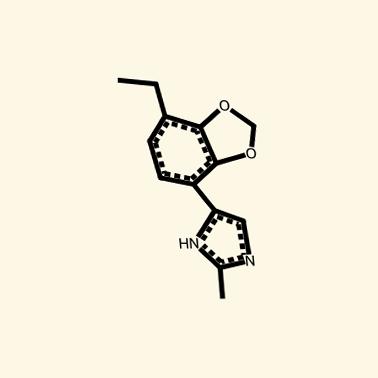 CCc1ccc(-c2cnc(C)[nH]2)c2c1OCO2